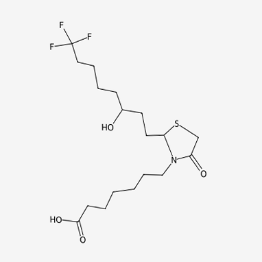 O=C(O)CCCCCCN1C(=O)CSC1CCC(O)CCCCC(F)(F)F